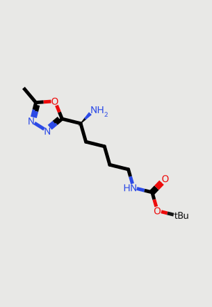 Cc1nnc([C@@H](N)CCCCNC(=O)OC(C)(C)C)o1